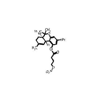 CCCc1cc(OC(=O)CCCO[N+](=O)[O-])c2c(c1)OC(C)(C)[C@@H]1CCC(C)=C[C@@H]21